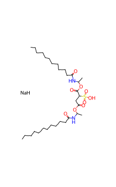 CCCCCCCCCCCC(=O)NC(C)OC(=O)CC(C(=O)OC(C)NC(=O)CCCCCCCCCCC)S(=O)(=O)O.[NaH]